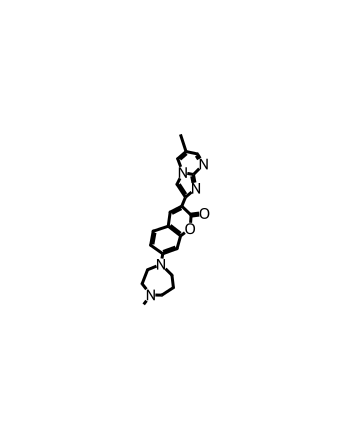 Cc1cnc2nc(-c3cc4ccc(N5CCCN(C)CC5)cc4oc3=O)cn2c1